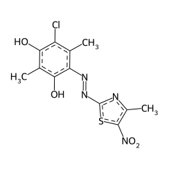 Cc1nc(/N=N/c2c(C)c(Cl)c(O)c(C)c2O)sc1[N+](=O)[O-]